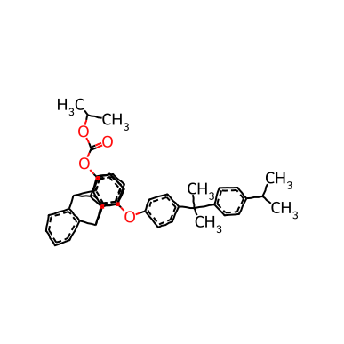 CC(C)OC(=O)Oc1ccc(Oc2ccc(C(C)(C)c3ccc(C(C)C)cc3)cc2)c2c1C1c3ccccc3C2c2ccccc21